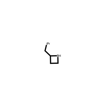 CC(C)CC1BCC1